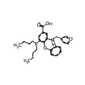 CCCCN(CCCC)c1cc(C(=O)O)cc(NCc2ccoc2)c1Oc1ccccc1